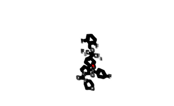 O=C(N1CCOCC1)N1CCC(c2ccc(C(OCc3c(F)cccc3F)(C(F)(F)F)C(F)(F)F)cc2)(S(=O)(=O)c2ccc(F)cc2)C1